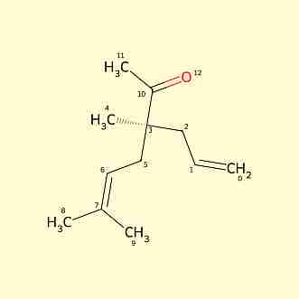 C=CC[C@@](C)(CC=C(C)C)C(C)=O